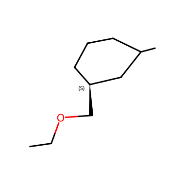 CCOC[C@H]1CCCC(C)C1